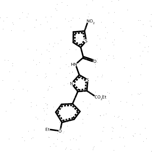 CCOC(=O)c1sc(NC(=O)c2ccc([N+](=O)[O-])s2)nc1-c1ccc(OCC)cc1